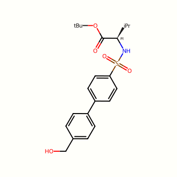 CC(C)[C@@H](NS(=O)(=O)c1ccc(-c2ccc(CO)cc2)cc1)C(=O)OC(C)(C)C